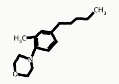 CCCCCc1ccc(N2CCOCC2)c(C)c1